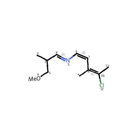 COCC(C)/C=N/C=C\C(C)=C(/C)Cl